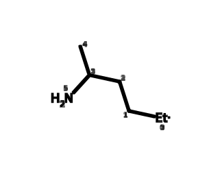 C[CH]CCC(C)N